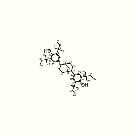 CCC(C)(C)c1cc(C2CCC3SC2CCC3c2cc(C(C)(C)CC)c(O)c(C(C)(C)CC)c2)cc(C(C)(C)CC)c1O